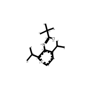 CC(C)c1cccc(C(C)C)c1N=C(Cl)C(C)(C)C